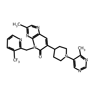 Cc1cnc2cc(C3CCN(c4cncnc4C)CC3)c(=O)n(Cc3ncccc3C(F)(F)F)c2n1